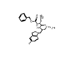 CC(C)(C)C[C@H](NC(=O)OCc1ccccc1)C(=O)N[C@@H](CC(=O)O)CN1CCc2cc(F)ccc21